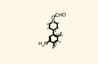 Nc1cc(C2CCN(OC=O)CC2)c(F)cc1F